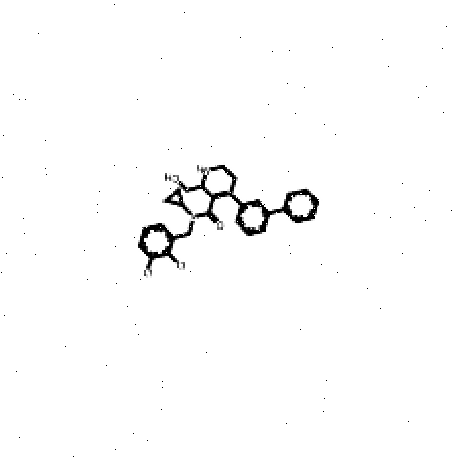 O=C(C1=C(c2cccc(-c3ccccc3)c2)CCNC1CO)N(Cc1cccc(Cl)c1Cl)C1CC1